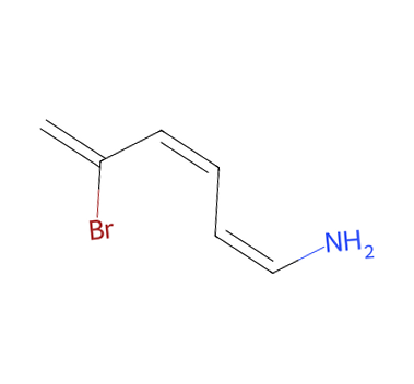 C=C(Br)/C=C\C=C/N